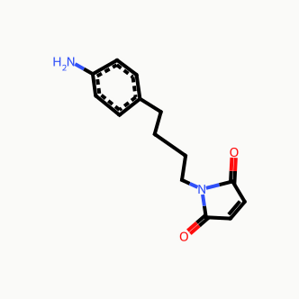 Nc1ccc(CCCCN2C(=O)C=CC2=O)cc1